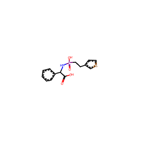 O=C(O)C(NP(=O)(O)CCc1ccsc1)c1ccccc1